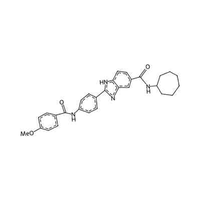 COc1ccc(C(=O)Nc2ccc(-c3nc4cc(C(=O)NC5CCCCCC5)ccc4[nH]3)cc2)cc1